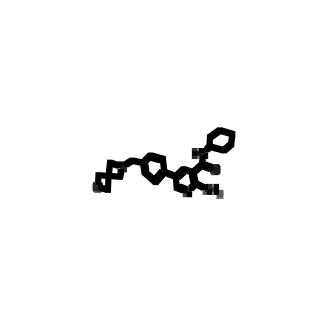 Nc1ncc(-c2ccc(CN3CC4(COC4)C3)cc2)cc1C(=O)NC1CCCCC1